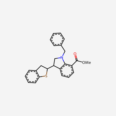 COC(=O)c1cccc2c1N(Cc1ccccc1)CC2C1Cc2ccccc2S1